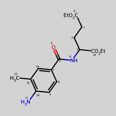 CCOC(=O)CCC(NC(=O)c1ccc(N)c(C)c1)C(=O)OCC